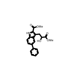 COC(=O)c1[nH]c2ccc(-c3ccccc3)cc2c1CC(O)C(=O)OC